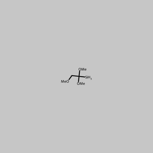 CO[CH]C([SiH3])(OC)OC